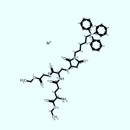 CCOC(=O)CNC(=O)C(CSC1CC(=O)N(CCCCC[P+](c2ccccc2)(c2ccccc2)c2ccccc2)C1=O)NC(=O)CCC(N)C(=O)OCC.[Br-]